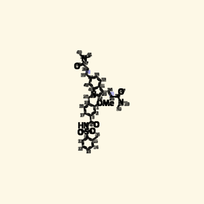 COc1cc(C(=O)NS(=O)(=O)c2ccccc2C)ccc1Cn1cc(/C=C/C(=O)N(C)C)c2ccc(/C=C/C(=O)N(C)C)cc21